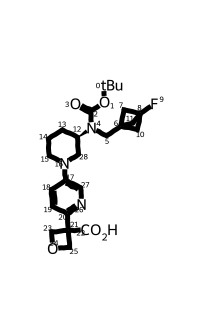 CC(C)(C)OC(=O)N(CC12CC(F)(C1)C2)[C@@H]1CCCN(c2ccc(C3(C(=O)O)COC3)nc2)C1